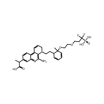 CC(C(=O)O)c1ccc2c3c(c(N)nc2c1)N(CCC1C=CC=CC1(C)OCCOCCC(F)(F)P(=O)(O)O)CC=C3